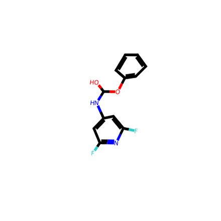 OC(Nc1cc(F)nc(F)c1)Oc1ccccc1